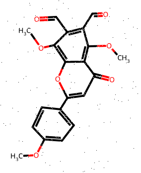 COc1ccc(-c2cc(=O)c3c(OC)c(C=O)c(C=O)c(OC)c3o2)cc1